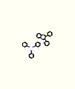 C1=CC(C2NC(c3ccccc3)NC(c3ccc(-n4c5ccccc5c5c6c7ccccc7sc6c6ccccc6c54)cc3)N2)=CCC1